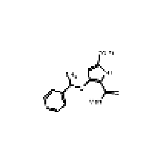 CCOC(=O)c1cc(OC(C)c2ccccc2)c(C(=O)NC)[nH]1